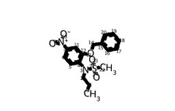 CCCN(c1ccc([N+](=O)[O-])cc1OCc1ccccc1)S(C)(=O)=O